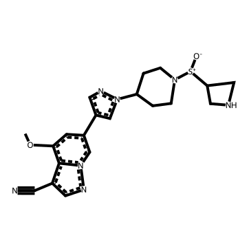 COc1cc(-c2cnn(C3CCN([S+]([O-])C4CNC4)CC3)c2)cn2ncc(C#N)c12